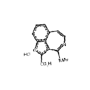 CNC1=NC=Cc2cccc3oc(C(=O)O)c1c23.Cl